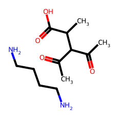 CC(=O)C(C(C)=O)C(C)C(=O)O.NCCCCN